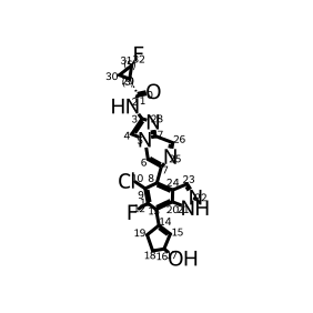 O=C(Nc1cn2cc(-c3c(Cl)c(F)c(C4=CC(O)CC4)c4[nH]ncc34)ncc2n1)[C@@H]1C[C@@H]1F